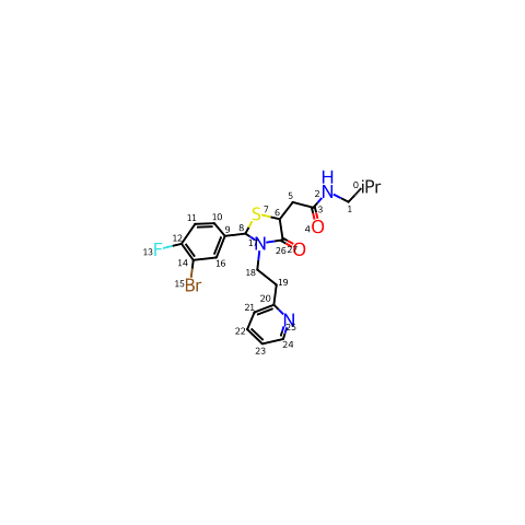 CC(C)CNC(=O)CC1SC(c2ccc(F)c(Br)c2)N(CCc2ccccn2)C1=O